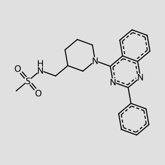 CS(=O)(=O)NCC1CCCN(c2nc(-c3ccccc3)nc3ccccc23)C1